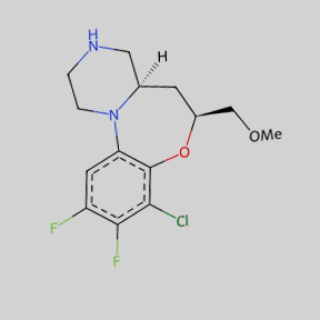 COC[C@@H]1C[C@@H]2CNCCN2c2cc(F)c(F)c(Cl)c2O1